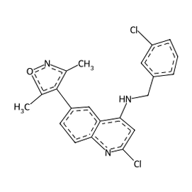 Cc1noc(C)c1-c1ccc2nc(Cl)cc(NCc3cccc(Cl)c3)c2c1